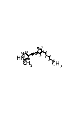 CCCCCCc1csc(C#CC2=CCNC(C)=C2)c1